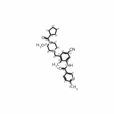 Cc1ccc(C(=O)Nc2cc(C#N)cc(CN3CCN(C(=O)C4CCCC4)[C@@H](C)C3)c2C)cn1